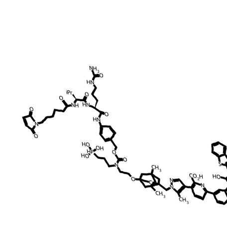 Cc1c(-c2ccc(-c3ccc4cccc(C(O)Nc5nc6ccccc6s5)c4c3)nc2C(=O)O)cnn1CC12CC3(C)CC(OCCN(CCC[PH](O)(O)O)C(=O)OCc4ccc(NC(=O)[C@H](CCCNC(N)=O)NC(=O)[C@@H](NC(=O)CCCCCN5C(=O)C=CC5=O)C(C)C)cc4)(CC1(C)C3)C2